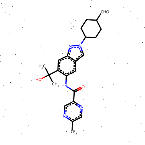 CC(C)(O)c1cc2nn(C3CCC(C=O)CC3)cc2cc1NC(=O)c1cnc(C(F)(F)F)cn1